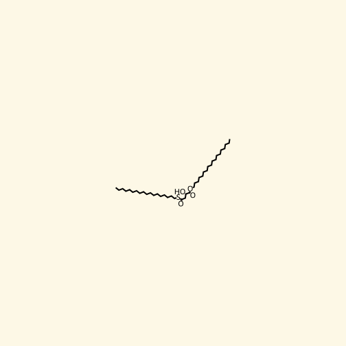 CCCCCCCCCCCCCCCCCCOC(=O)C(O)CC(=O)SCCCCCCCCCCCCCCCCCC